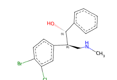 CNC[C@@H](c1ccc(Br)c(Cl)c1)[C@H](O)c1ccccc1